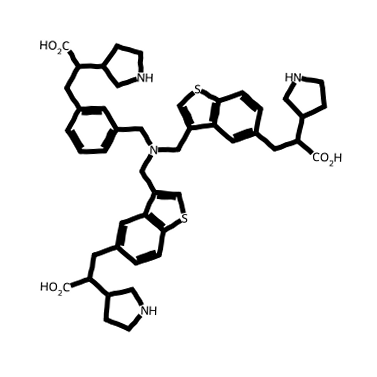 O=C(O)C(Cc1cccc(CN(Cc2csc3ccc(CC(C(=O)O)C4CCNC4)cc23)Cc2csc3ccc(CC(C(=O)O)C4CCNC4)cc23)c1)C1CCNC1